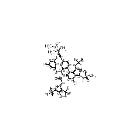 C[S+]([O-])C(C)(C)C#Cc1ccc(-c2ccc(Cl)c3c(NS(C)(=O)=O)nn(CC(F)(F)F)c23)c([C@H](Cc2cc(F)cc(F)c2)NC(=O)Cn2nc(C(F)(F)F)c3c2C(F)(F)CC3)n1